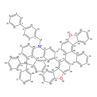 c1ccc(-c2ccc(CN(c3ccc(-c4c(-c5ccc6oc7ccccc7c6c5-c5ccccc5)ccc5oc6ccccc6c45)cc3)c3cccc4c3-c3ccccc3C4(c3ccccc3)c3ccccc3)cc2)cc1